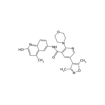 Cc1noc(C)c1-c1cnc(N2CCOCC2)c(C(=O)Nc2ccc3nc(O)cc(C)c3c2)c1